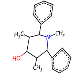 CC1C(O)C(C)C(c2ccccc2)N(C)C1c1ccccc1